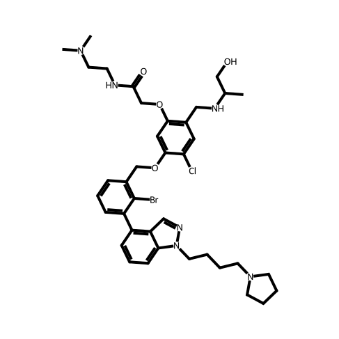 CC(CO)NCc1cc(Cl)c(OCc2cccc(-c3cccc4c3cnn4CCCCN3CCCC3)c2Br)cc1OCC(=O)NCCN(C)C